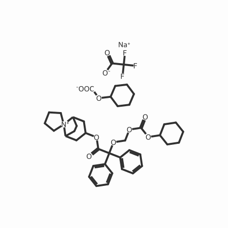 O=C(OCOC(C(=O)OC1CC2CCC(C1)[N+]21CCCC1)(c1ccccc1)c1ccccc1)OC1CCCCC1.O=C([O-])C(F)(F)F.O=C([O-])OC1CCCCC1.[Na+]